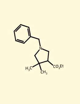 CCOC(=O)C1CN(Cc2ccccc2)CC1(C)C